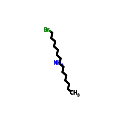 CCCCCCCCCCCCCCCBr.N